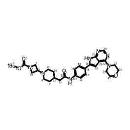 CC(C)(C)OC(=O)N1CC(N2CCC(CC(=O)Nc3ccc(-c4cc5c(N6CCOCC6)ncnc5[nH]4)cc3)CC2)C1